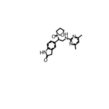 Cc1cc(C)nc(NCC(c2ccc3c(c2)CC(=O)N3)P2(=O)CCCO2)n1